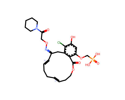 O=C1OCC/C=C/CC/C=C/C(=NOCC(=O)N2CCCCC2)Cc2c(Cl)c(O)cc(OCP(=O)(O)O)c21